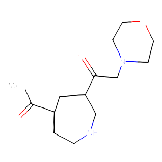 COC(=O)C1CCNCC(C(=O)CN2CCOCC2)C1